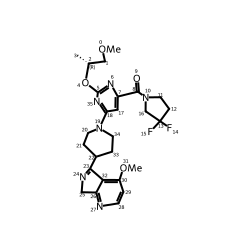 COC[C@@H](C)Oc1nc(C(=O)N2CCC(F)(F)C2)cc(N2CCC(C3=NCc4nccc(OC)c43)CC2)n1